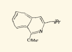 COc1nc(C(C)C)cc2ccccc12